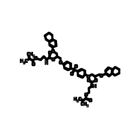 C=C(C)C(=O)OCCNC(=O)OC(COc1ccc(S(=O)(=O)c2ccc(OCC(COc3ccc4c(c3)CCCC4)OC(=O)NCCOC(=O)C(=C)C)cc2)cc1)COc1ccc2c(c1)CCCC2